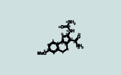 COc1ccc2c(c1)CCc1c-2sc(NC(N)=O)c1C(N)=O